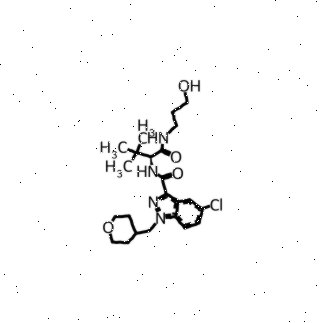 CC(C)(C)[C@H](NC(=O)c1nn(CC2CCOCC2)c2ccc(Cl)cc12)C(=O)NCCCO